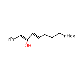 CCC/C=C(\O)C=CCCCCCCCCC